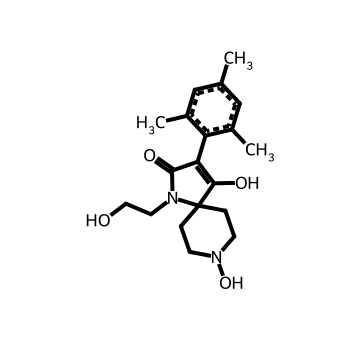 Cc1cc(C)c(C2=C(O)C3(CCN(O)CC3)N(CCO)C2=O)c(C)c1